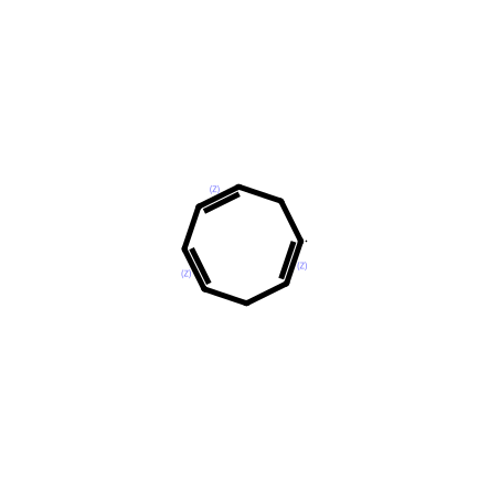 [C]1=C\C/C=C\C=C/C/1